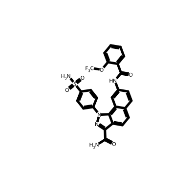 NC(=O)c1nn(-c2ccc(S(N)(=O)=O)cc2)c2c1ccc1ccc(NC(=O)c3ccccc3OC(F)(F)F)cc12